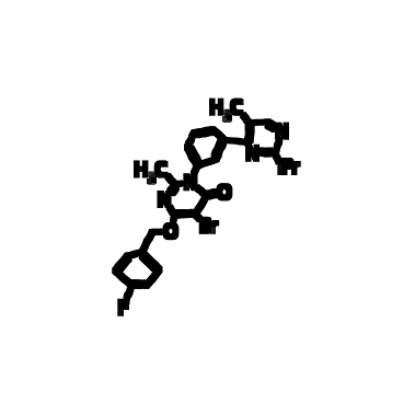 Cc1cnc(C(C)C)nc1-c1cccc(-n2c(C)nc(OCc3ccc(F)cc3)c(Br)c2=O)c1